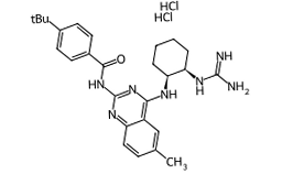 Cc1ccc2nc(NC(=O)c3ccc(C(C)(C)C)cc3)nc(N[C@H]3CCCC[C@H]3NC(=N)N)c2c1.Cl.Cl